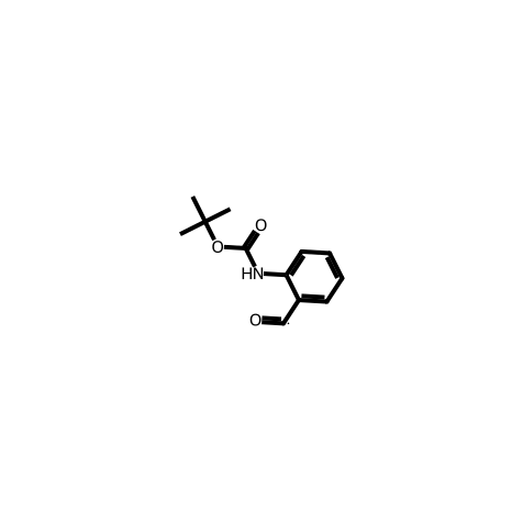 CC(C)(C)OC(=O)Nc1ccccc1[C]=O